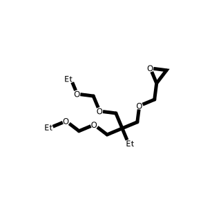 CCOCOCC(CC)(COCOCC)COCC1CO1